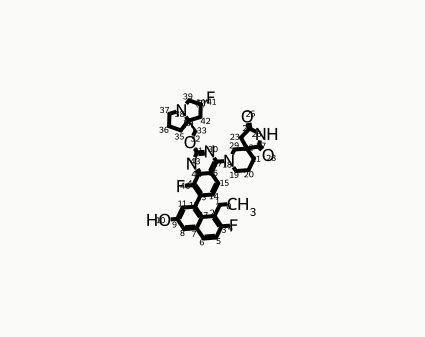 CCc1c(F)ccc2cc(O)cc(-c3ccc4c(N5CCCC6(CC(=O)NC6=O)C5)nc(OC[C@@]56CCCN5C[C@H](F)C6)nc4c3F)c12